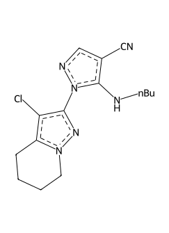 CCCCNc1c(C#N)cnn1-c1nn2c(c1Cl)CCCC2